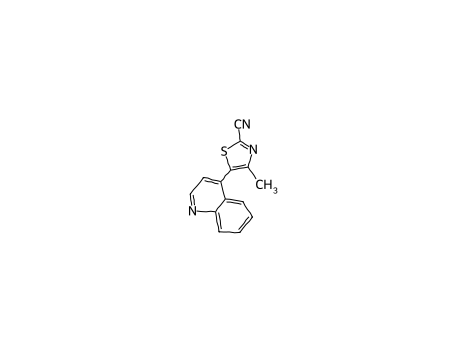 Cc1nc(C#N)sc1-c1ccnc2ccccc12